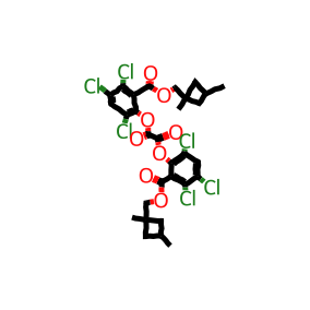 CC1CC(C)(COC(=O)c2c(Cl)c(Cl)cc(Cl)c2OC(=O)C(=O)Oc2c(Cl)cc(Cl)c(Cl)c2C(=O)OCC2(C)CC(C)C2)C1